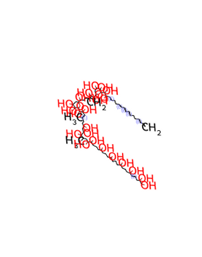 C=C/C=C/CC/C=C/C=C/C=C/CC/C=C/C(O)C(O)C1OC(C(O)C(O)C(=C)CCC(O)C2CC(O)C(O)C(C(O)C(O)/C=C(\C)CCC(O)CC(O)C(O)C(C)CC(O)C(O)CCCC(O)CCCC(O)CCCC(O)CCCC(O)/C=C/CC(O)CO)O2)CC(O)C1O